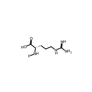 N=C(N)NCCC[C@H](NF)C(=O)O